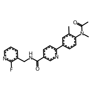 CC(=O)N(C)c1ccc(-c2ccc(C(=O)NCc3cccnc3F)cn2)cc1C